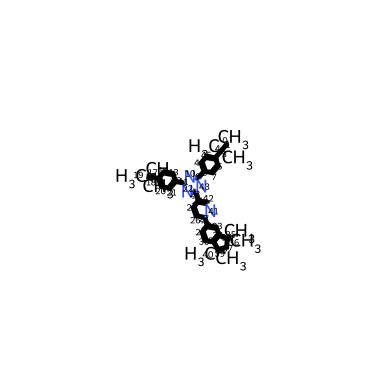 CCC(C)(C)c1ccc(-c2nc(-c3ccc(C(C)(C)C)cc3)nc(-c3ccc(-c4ccc5c(c4)C(C)(C)CC5(C)C)nc3)n2)cc1